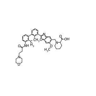 COc1cc2oc(-c3cccc(-c4cccc(NC(=O)CCN5CCOCC5)c4C)c3C)nc2cc1CN1CCCCC1C(=O)O